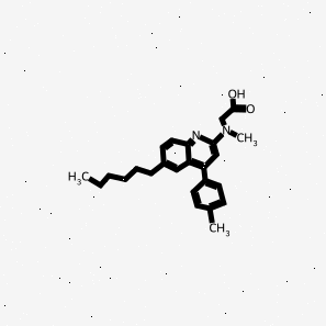 CCCCCCc1ccc2nc(N(C)CC(=O)O)cc(-c3ccc(C)cc3)c2c1